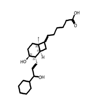 C[C@@]12CC[C@H](O)[C@@H](C=CC(O)C3CCCCC3)[C@@H]1CC2=CCCCCC(=O)O